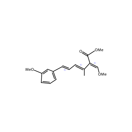 CO\C=C(C(=O)OC)/C(C)=C/C=C/c1cccc(OC)c1